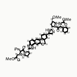 COC[C@H]1C[C@@H](c2ncc(-c3ccc4c(c3)COc3cc5c(ccc6nc([C@@H]7CC[C@H](C)N7C(=O)[C@@H](NCC(=O)OC)C(C)C)[nH]c65)cc3-4)[nH]2)N(C(=O)[C@H](NC(=O)OC)c2ccccc2)C1